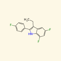 CCc1c(-c2ccc(F)cc2)[nH]c2c(F)cc(F)cc12